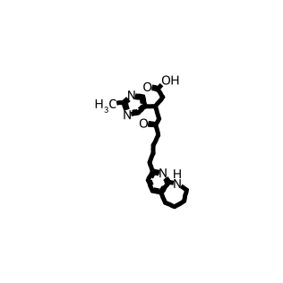 Cc1ncc(C(CC(=O)O)CC(=O)CCCCc2ccc3c(n2)NCCCC3)cn1